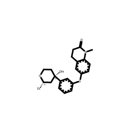 CC[C@H]1C[C@](O)(c2cccc(Sc3ccc4c(c3)CCC(=O)N4C)c2)CCO1